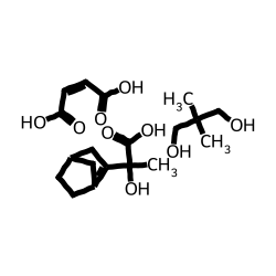 CC(C)(CO)CO.CC(O)(C(=O)O)C1=C2CCC(C2)C1.O=C(O)/C=C\C(=O)O